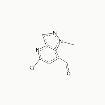 Cn1ncc2nc(Cl)cc(C=O)c21